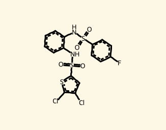 O=S(=O)(Nc1ccccc1NS(=O)(=O)c1cc(Cl)c(Cl)s1)c1ccc(F)cc1